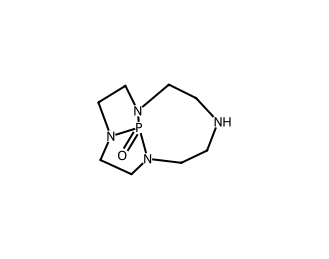 O=P12N3CCNCCN1CCN2CC3